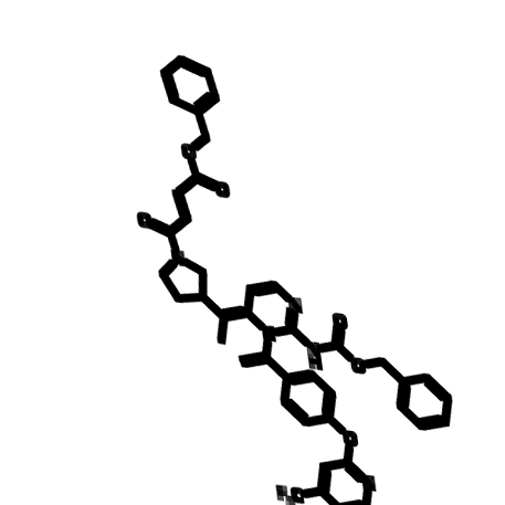 C=C(c1ccc(Oc2cc(C(F)(F)F)ccn2)cc1)N1C(NC(=O)OCc2ccccc2)=NC=C/C1=C(/C)C1CCN(C(=O)/C=C/C(=O)OCc2ccccc2)C1